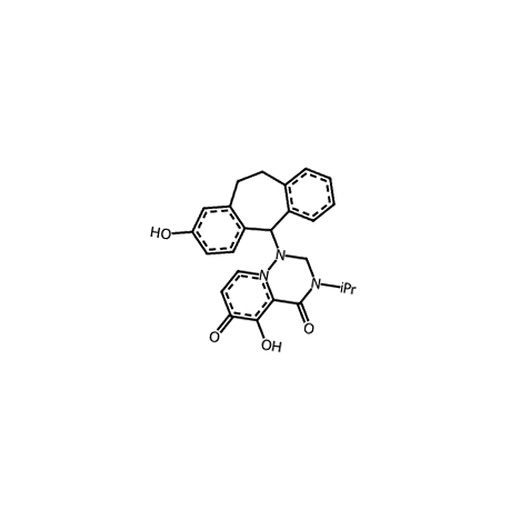 CC(C)N1CN(C2c3ccccc3CCc3cc(O)ccc32)n2ccc(=O)c(O)c2C1=O